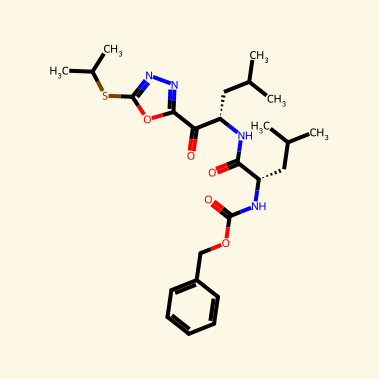 CC(C)C[C@H](NC(=O)OCc1ccccc1)C(=O)N[C@@H](CC(C)C)C(=O)c1nnc(SC(C)C)o1